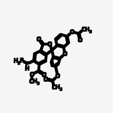 COC(=O)c1cc2c(cc1PP)C(=O)OC21c2ccc(OC(C)=O)cc2Oc2cc(OC(C)=O)ccc21